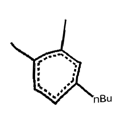 [CH2]CCCc1ccc(C)c(C)c1